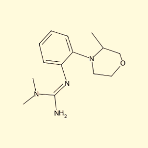 CC1COCCN1c1ccccc1N=C(N)N(C)C